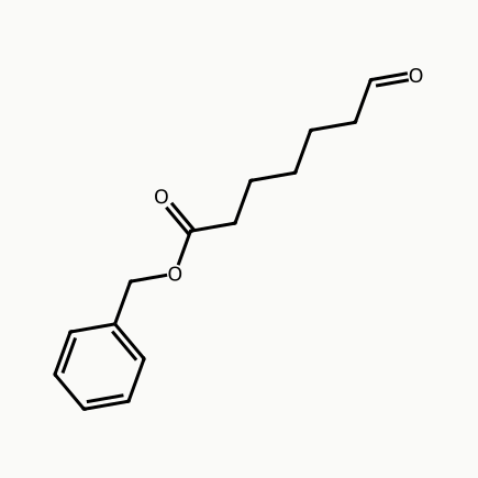 O=CCCCCCC(=O)OCc1ccccc1